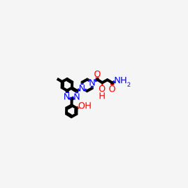 Cc1ccc2c(N3CCN(C(=O)[C@H](O)CC(N)=O)CC3)nc(-c3ccccc3O)nc2c1